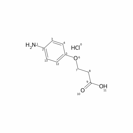 Cl.Nc1ccc(OCCC(=O)O)cc1